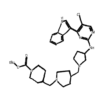 CC(C)(C)OC(=O)N1CCC(CN2CCC(CN3CCC(Nc4ncc(Cl)c(-c5c[nH]c6ccccc56)n4)C3)CC2)CC1